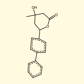 CC1(O)CC(=O)OC(c2ccc(-c3ccccc3)cc2)C1